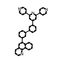 c1cc(-c2cccc(-c3cc4cccnc4c4ccccc34)c2)cc(-c2cc(-c3ccncc3)nc(-c3ccncc3)c2)c1